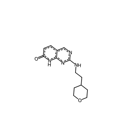 O=c1ccc2cnc(NCCC3CCOCC3)nc2[nH]1